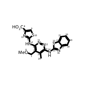 COCc1c(Nc2nc(C(=O)O)cs2)nnc(Nc2nc3ccccc3s2)c1C